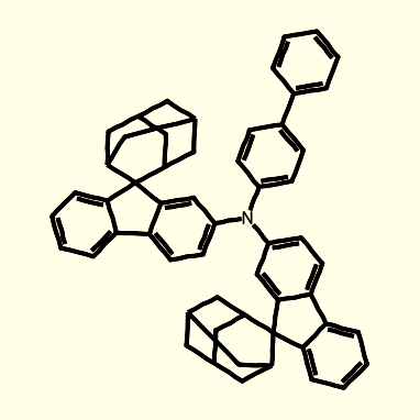 c1ccc(-c2ccc(N(c3ccc4c(c3)C3(c5ccccc5-4)C4CC5CC(C4)CC3C5)c3ccc4c(c3)C3(c5ccccc5-4)C4CC5CC(C4)CC3C5)cc2)cc1